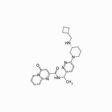 CC(NC(=O)c1cc(=O)n2ccccc2n1)c1ccc(N2CCC[C@@H](NCC3CCC3)C2)nn1